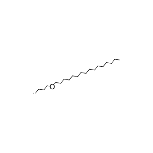 [CH2]CCCOCCCCCCCCCCCCCCCC